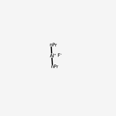 CC[CH2][Al+][CH2]CC.[F-]